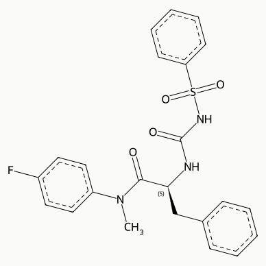 CN(C(=O)[C@H](Cc1ccccc1)NC(=O)NS(=O)(=O)c1ccccc1)c1ccc(F)cc1